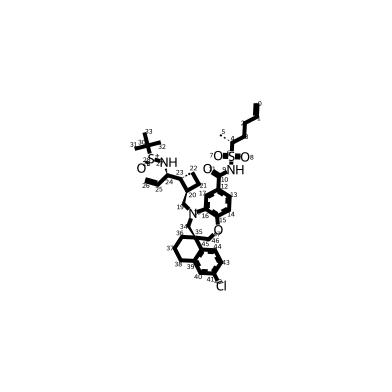 C=CCC[C@@H](C)S(=O)(=O)NC(=O)c1ccc2c(c1)N(C[C@@H]1CC[C@H]1[C@H](C=C)N[S+]([O-])C(C)(C)C)C[C@@]1(CCCc3cc(Cl)ccc31)CO2